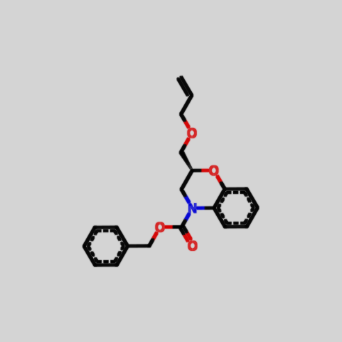 C=CCOC[C@@H]1CN(C(=O)OCc2ccccc2)c2ccccc2O1